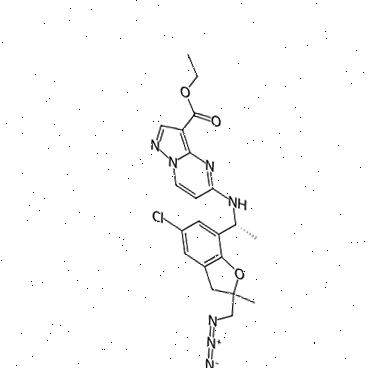 CCOC(=O)c1cnn2ccc(N[C@H](C)c3cc(Cl)cc4c3OC(C)(CN=[N+]=[N-])C4)nc12